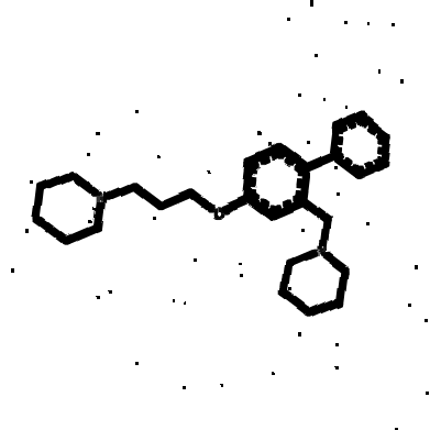 c1ccc(-c2ccc(OCCCN3CCCCC3)cc2CN2CCCCC2)cc1